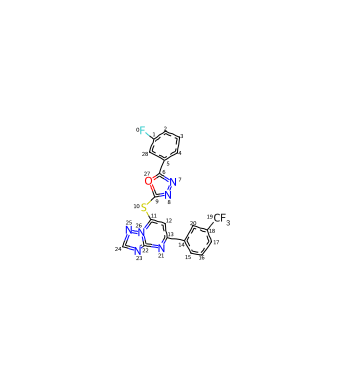 Fc1cccc(-c2nnc(Sc3cc(-c4cccc(C(F)(F)F)c4)nc4ncnn34)o2)c1